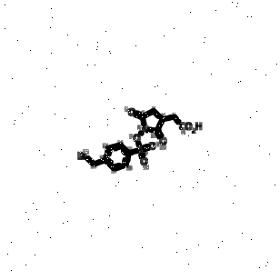 O=C(O)CC1CC(=O)N(OS(=O)(=O)c2ccc(CBr)cc2)C1=O